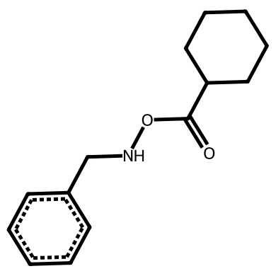 O=C(ONCc1ccccc1)C1CCCCC1